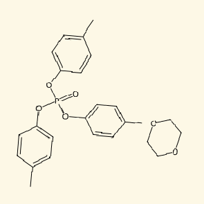 C1COCCO1.Cc1ccc(OP(=O)(Oc2ccc(C)cc2)Oc2ccc(C)cc2)cc1